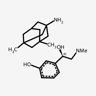 CC12CC3CC(C)(C1)CC(N)(C3)C2.CNC[C@H](O)c1cccc(O)c1